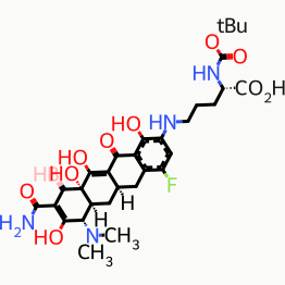 B=C1C(C(N)=O)=C(O)[C@@H](N(C)C)[C@@H]2C[C@@H]3Cc4c(F)cc(NCCC[C@H](NC(=O)OC(C)(C)C)C(=O)O)c(O)c4C(=O)C3=C(O)[C@]12O